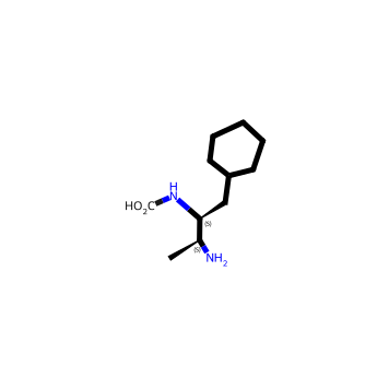 C[C@H](N)[C@H](CC1CCCCC1)NC(=O)O